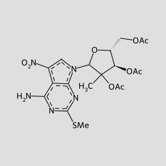 CSc1nc(N)c2c([N+](=O)[O-])cn(C3O[C@H](COC(C)=O)[C@@H](OC(C)=O)C3(C)OC(C)=O)c2n1